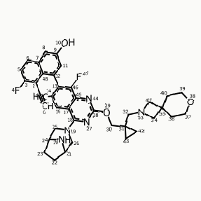 C#Cc1c(F)ccc2cc(O)cc(-c3c(C)cc4c(N5CC6CCC(C5)N6)nc(OCC5(CN6CC7(CCOCC7)C6)CC5)nc4c3F)c12